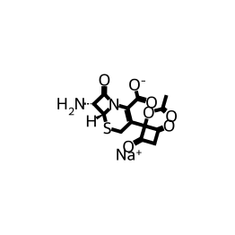 CC(=O)OC1(C2=C(C(=O)[O-])N3C(=O)[C@@H](N)[C@H]3SC2)C(=O)CC1=O.[Na+]